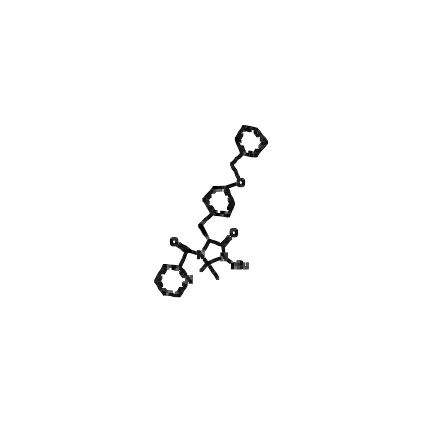 CCCCN1C(=O)[C@H](Cc2ccc(OCc3ccccc3)cc2)N(C(=O)c2ccccn2)C1(C)C